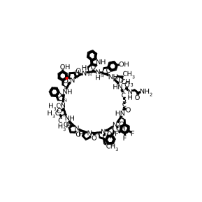 CCCC[C@H]1C(=O)N2CCC[C@@H]2C(=O)N2CCC[C@H]2C(=O)N[C@@H](C(C)C)C(=O)N(C)[C@@H](Cc2ccccc2)C(=O)N[C@@H](Cc2ccc(O)cc2)C(=O)N2CCC[C@@H]2C(=O)N[C@@H](Cc2c[nH]c3ccccc23)C(=O)N[C@@H](Cc2ccc(O)cc2)C(=O)N[C@@H](CC(C)C)C(=O)N[C@H](C(=O)NCC(N)=O)CSCC(=O)N[C@@H](Cc2cc(F)c(F)c(F)c2)C(=O)N(C)[C@@H](Cc2ccccc2)C(=O)N1C